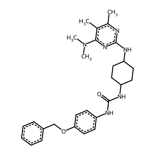 Cc1nc(NC2CCC(NC(=O)Nc3ccc(OCc4ccccc4)cc3)CC2)nc(N(C)C)c1C